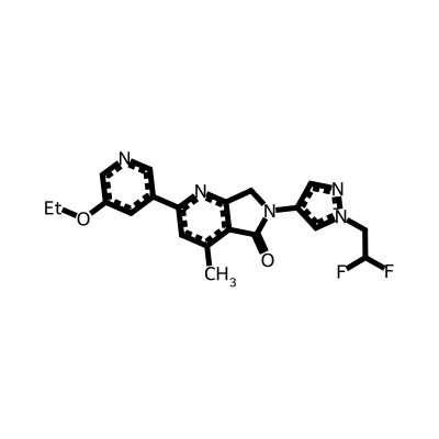 CCOc1cncc(-c2cc(C)c3c(n2)CN(c2cnn(CC(F)F)c2)C3=O)c1